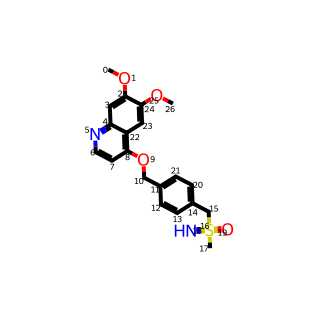 COc1cc2nccc(OCc3ccc(CS(C)(=N)=O)cc3)c2cc1OC